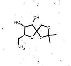 CC1(C)OCC2(O[C@@H](CN)[C@@H](O)[C@@H]2O)O1